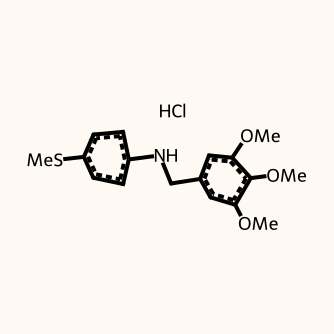 COc1cc(CNc2ccc(SC)cc2)cc(OC)c1OC.Cl